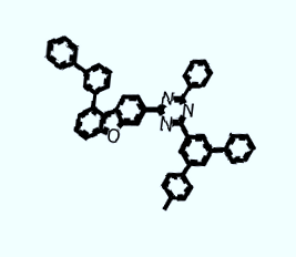 Cc1ccc(-c2cc(-c3ccccc3)cc(-c3nc(-c4ccccc4)nc(-c4ccc5c(c4)oc4cccc(-c6cccc(-c7ccccc7)c6)c45)n3)c2)cc1